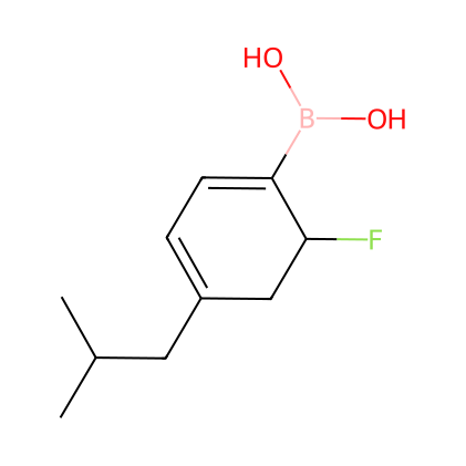 CC(C)CC1=CC=C(B(O)O)C(F)C1